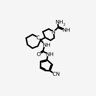 N#Cc1cccc(NC(=O)NC2(C3CCN(C(=N)N)CC3)CCCCCC2)c1